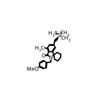 COc1ccc(CN2C(=O)c3c(C)cc(C#C[Si](C)(C)C)cc3C23CCCCC3)cc1